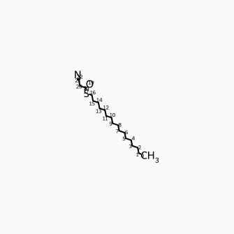 CCCCCCCCCCCCCCCCCSC(=O)CC#N